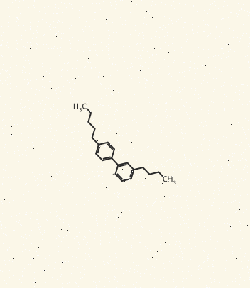 CCCCCc1ccc(-c2[c]ccc(CCCC)c2)cc1